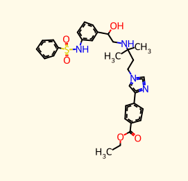 CCOC(=O)c1ccc(-c2cn(CCC(C)(C)NCC(O)c3cccc(NS(=O)(=O)c4ccccc4)c3)cn2)cc1